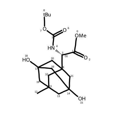 COC(=O)[C@@H](NC(=O)OC(C)(C)C)C12CC3(C)CC(O)(CC(O)(C3)C1)C2